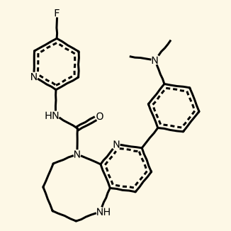 CN(C)c1cccc(-c2ccc3c(n2)N(C(=O)Nc2ccc(F)cn2)CCCCN3)c1